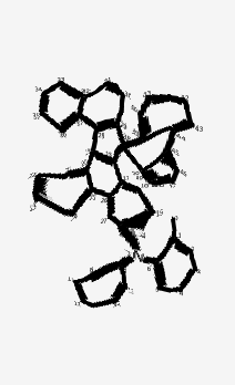 Cc1ccccc1N(c1ccccc1)c1ccc2c3c(c4ccccc4c2c1)-c1c(ccc2ccccc12)C31c2ccccc2-c2ccccc21